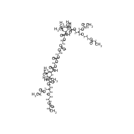 C=CC(=O)OCCCOCC(COC(=O)C=C)COC(=O)NC1(C)CC(NC(=O)OCCOC(=O)OCCOC(=O)OCOC(=O)NC2CC(C)(C)CC(C)(NC(=O)OCC(COCCCOC(=O)C=C)COC(=O)C=C)C2)CC(C)(C)C1